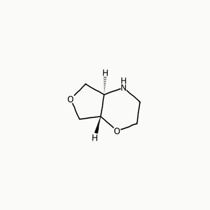 C1CO[C@@H]2COC[C@H]2N1